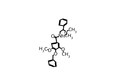 COc1cc(C(=O)NCC(c2ccccc2)N(C)C)cc(OC)c1OCc1ccccc1